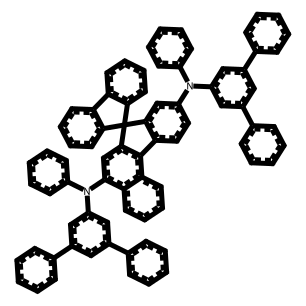 c1ccc(-c2cc(-c3ccccc3)cc(N(c3ccccc3)c3ccc4c(c3)C3(c5ccccc5-c5ccccc53)c3cc(N(c5ccccc5)c5cc(-c6ccccc6)cc(-c6ccccc6)c5)c5ccccc5c3-4)c2)cc1